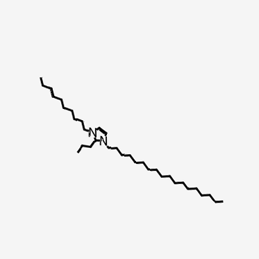 CCCCCCCCCCCCCCCCCCN1C=CN(CCCCCCCCCC)C1CCC